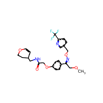 COC/C(=N/OCc1ccc(C(F)(F)F)nc1)c1ccc(OCC(=O)NCC2C=COCC2)cc1